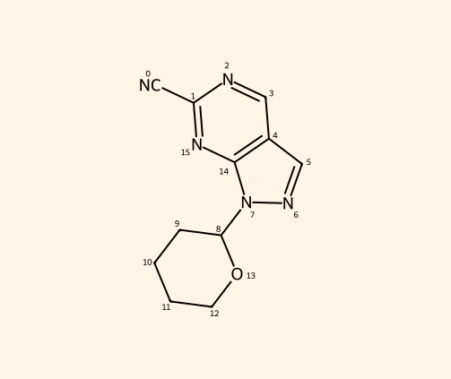 N#Cc1ncc2cnn(C3CCCCO3)c2n1